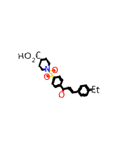 CCc1ccc(/C=C/C(=O)c2ccc(S(=O)(=O)N3CCC(C(=O)O)CC3)cc2)cc1